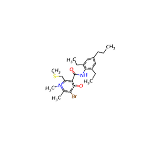 CCCc1cc(CC)c(NC(=O)c2c(CSC)n(C)c(C)c(Br)c2=O)c(CC)c1